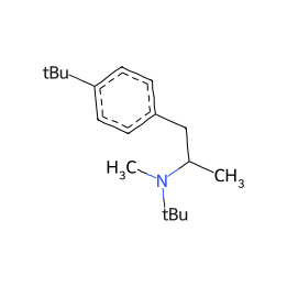 CC(Cc1ccc(C(C)(C)C)cc1)N(C)C(C)(C)C